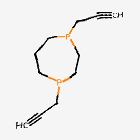 C#CCP1CCCP(CC#C)CC1